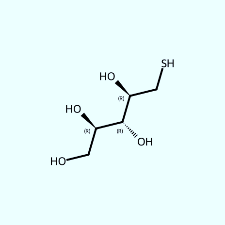 OC[C@@H](O)[C@@H](O)[C@@H](O)CS